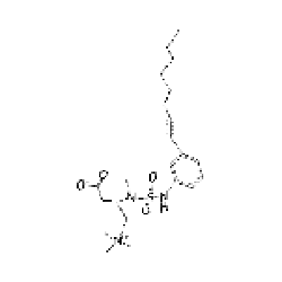 CCCCCCC#Cc1cccc(NS(=O)(=O)N(C)C(CC(=O)[O-])C[N+](C)(C)C)c1